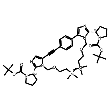 CC(C)(C)OC(=O)N1CCC[C@H]1c1ncc(C#Cc2ccc(-c3cnc([C@@H]4CCCN4C(=O)OC(C)(C)C)n3COCC[Si](C)(C)C)cc2)n1COCC[Si](C)(C)C